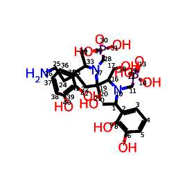 CC(c1cccc(O)c1O)N(CP(=O)(O)O)C(CO)C(CO)(CCCCN)N(CP(=O)(O)O)C(C)c1cccc(O)c1O